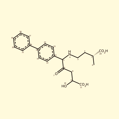 C[C@H](CCNC(C(=O)CC(O)C(=O)O)c1ccc(-c2ccccc2)cc1)C(=O)O